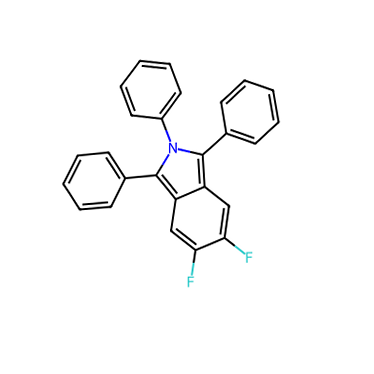 Fc1cc2c(-c3ccccc3)n(-c3ccccc3)c(-c3ccccc3)c2cc1F